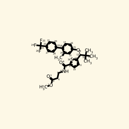 COC(=O)CCNC(=O)c1ccc([C@H](Oc2ccc(-c3ccc(C(F)(F)F)cc3)c(C)c2)C(C)(C)C)s1